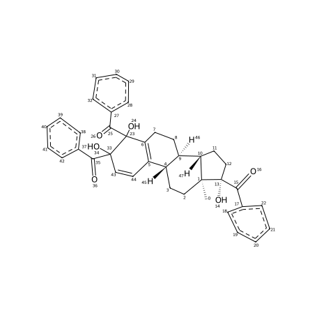 C[C@]12CC[C@@H]3C4=C(CC[C@H]3[C@@H]1CC[C@@]2(O)C(=O)c1ccccc1)C(O)(C(=O)c1ccccc1)C(O)(C(=O)c1ccccc1)C=C4